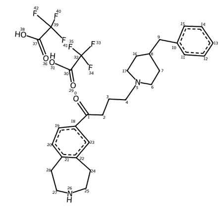 O=C(CCCN1CCC(Cc2ccccc2)CC1)c1ccc2c(c1)CCNCC2.O=C(O)C(F)(F)F.O=C(O)C(F)(F)F